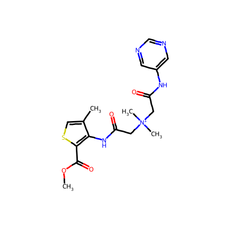 COC(=O)c1scc(C)c1NC(=O)C[N+](C)(C)CC(=O)Nc1cncnc1